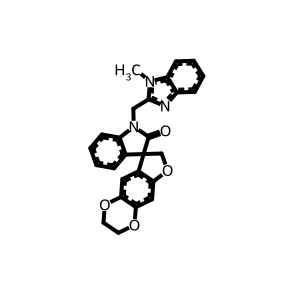 Cn1c(CN2C(=O)C3(COc4cc5c(cc43)OCCO5)c3ccccc32)nc2ccccc21